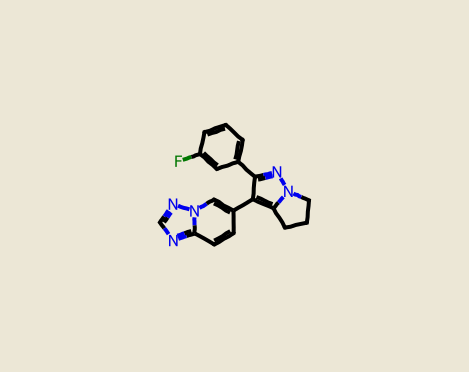 Fc1cccc(-c2nn3c(c2-c2ccc4ncnn4c2)CCC3)c1